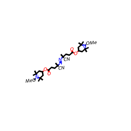 CON1C(C)(C)CC(OC(=O)CCC(C)(C#N)/N=N/C(C)(C#N)CCC(=O)OC2CC(C)(C)N(OC)C(C)(C)C2)CC1(C)C